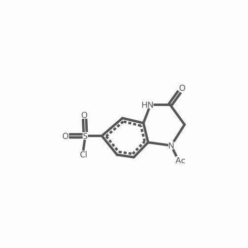 CC(=O)N1CC(=O)Nc2cc(S(=O)(=O)Cl)ccc21